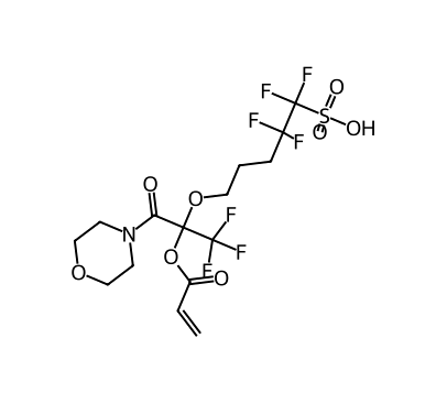 C=CC(=O)OC(OCCCC(F)(F)C(F)(F)S(=O)(=O)O)(C(=O)N1CCOCC1)C(F)(F)F